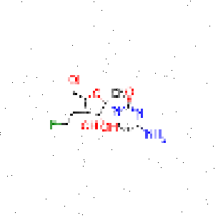 N#C[C@@]1(n2ccc(N)nc2=O)O[C@H](CO)[C@](O)(CCF)[C@H]1O